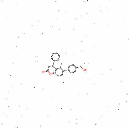 Cc1c(-c2ccc(CO)cc2)ccc2oc(=O)cc(-c3ccccc3)c12